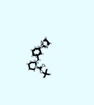 CC(C)(C)OC(=O)N1CCCC[C@H]1Cc1cccc(-n2nccn2)c1